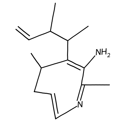 C=CC(C)C(C)/C1=C(N)/C(C)=N\C=C\CC1C